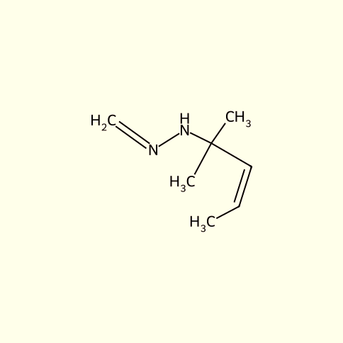 C=NNC(C)(C)/C=C\C